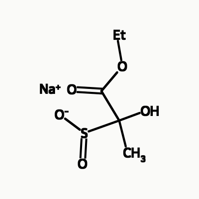 CCOC(=O)C(C)(O)S(=O)[O-].[Na+]